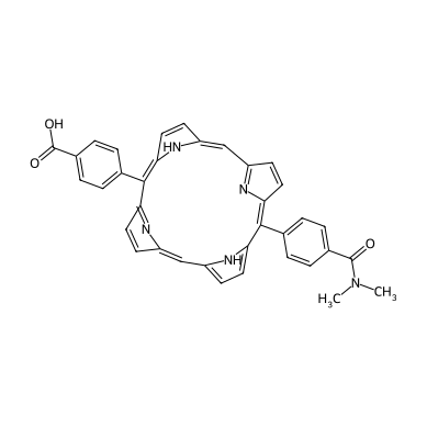 CN(C)C(=O)c1ccc(-c2c3nc(cc4ccc([nH]4)c(-c4ccc(C(=O)O)cc4)c4nc(cc5ccc2[nH]5)C=C4)C=C3)cc1